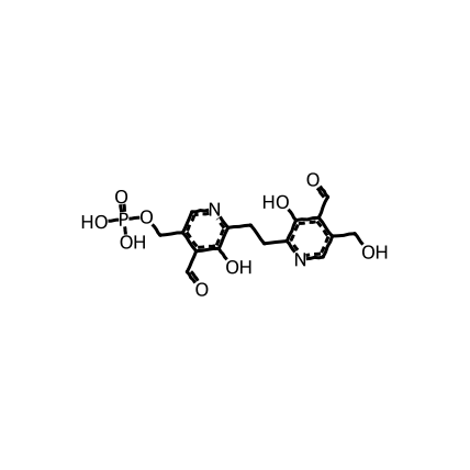 O=Cc1c(CO)cnc(CCc2ncc(COP(=O)(O)O)c(C=O)c2O)c1O